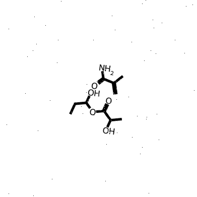 C=C(C)C(N)=O.CCC(O)OC(=O)C(C)O